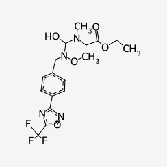 CCOC(=O)CN(C)C(O)N(Cc1ccc(-c2noc(C(F)(F)F)n2)cc1)OC